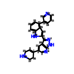 C1=C(c2cnc3[nH]nc(-c4cc5c(-c6cccnc6)cccc5[nH]4)c3c2)CCNC1